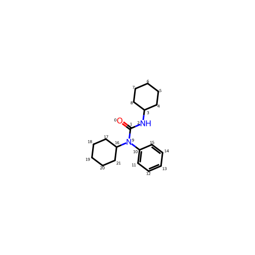 O=C(NC1CCCCC1)N(c1ccccc1)C1CCCCC1